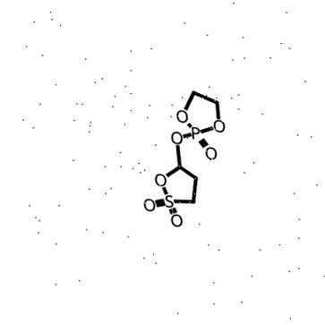 O=P1(OC2CCS(=O)(=O)O2)OCCO1